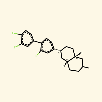 CC1CC[C@@H]2C[C@H](c3ccc(-c4ccc(F)c(F)c4)c(F)c3)CC[C@@H]2C1